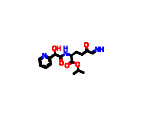 CC(C)OC(=O)[C@H](CCC(=O)C=N)NC(=O)[C@H](O)c1ccccn1